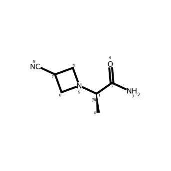 C[C@H](C(N)=O)N1CC(C#N)C1